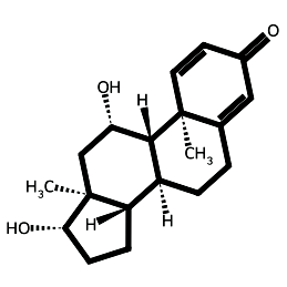 C[C@]12C[C@H](O)[C@H]3[C@@H](CCC4=CC(=O)C=C[C@@]43C)[C@@H]1CC[C@@H]2O